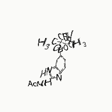 CC(=O)Nc1nc2ccc(B3OC(C)(C)C(C)(C)O3)cc2[nH]1